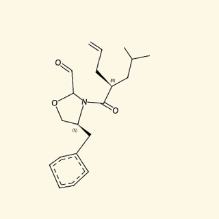 C=CC[C@@H](CC(C)C)C(=O)N1C(C=O)OC[C@@H]1Cc1ccccc1